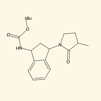 CC1CCN(C2CC(NC(=O)OC(C)(C)C)c3ccccc32)C1=O